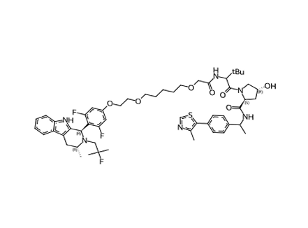 Cc1ncsc1-c1ccc(C(C)NC(=O)[C@@H]2C[C@@H](O)CN2C(=O)C(NC(=O)COCCCCCOCCOc2cc(F)c([C@@H]3c4[nH]c5ccccc5c4C[C@@H](C)N3CC(C)(C)F)c(F)c2)C(C)(C)C)cc1